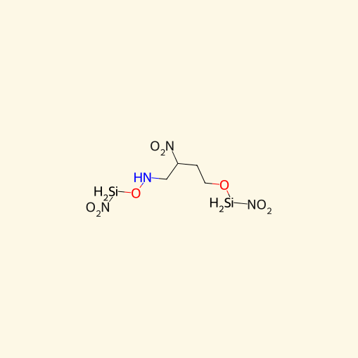 O=[N+]([O-])[SiH2]OCCC(CNO[SiH2][N+](=O)[O-])[N+](=O)[O-]